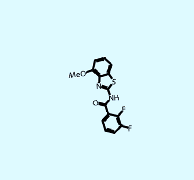 COc1cccc2sc(NC(=O)c3cccc(F)c3F)nc12